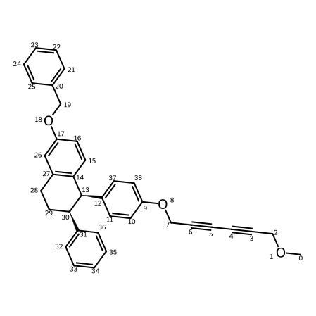 COCC#CC#CCOc1ccc([C@@H]2c3ccc(OCc4ccccc4)cc3CC[C@@H]2c2ccccc2)cc1